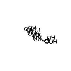 OC[C@H]1O[C@@H](n2cnc3c(NCCc4ccc(O)c(O)c4)ncnc32)[C@@H](O)C1O